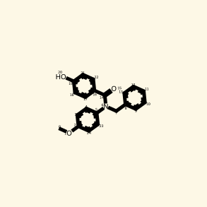 COc1ccc(N(Cc2ccccc2)C(=O)c2ccc(O)cc2)cc1